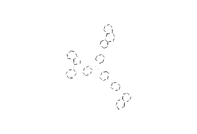 c1ccc(-c2c(-c3cccc(N(c4ccc(-c5ccc(-c6cccc7ccccc67)cc5)cc4)c4ccc(-c5ccc6c(ccc7ccccc76)c5)cc4)c3)oc3ccccc23)cc1